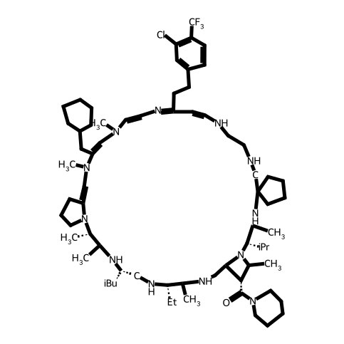 CC[C@@H]1NC[C@H]([C@@H](C)CC)NC(C)[C@H](C)N2CCCC2=CN(C)C(CC2CCCCC2)=CN(C)C=CN=C(CCc2ccc(C(F)(F)F)c(Cl)c2)C=CNCCNCC2(CCCC2)NC(C)[C@H](C(C)C)N2C(C)[C@H](C(=O)N3CCCCC3)C2CNC1C